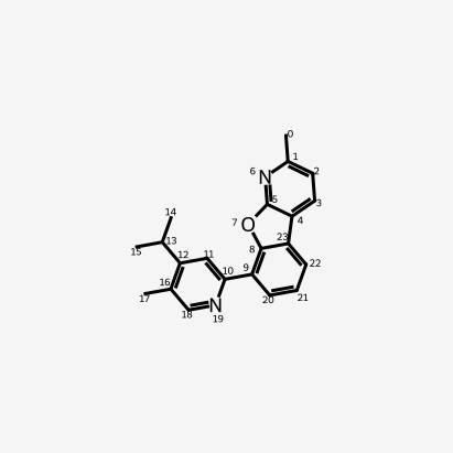 Cc1ccc2c(n1)oc1c(-c3cc(C(C)C)c(C)cn3)cccc12